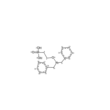 O=P(O)(O)CCON(Cc1ccccc1)Cc1ccccc1